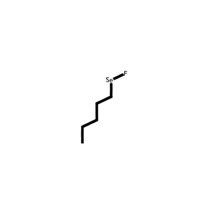 CCCCC[Se]F